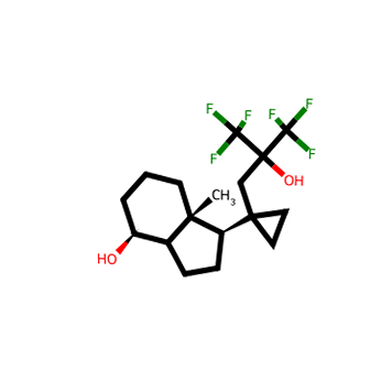 C[C@]12CCC[C@H](O)C1CC[C@@H]2C1(CC(O)(C(F)(F)F)C(F)(F)F)CC1